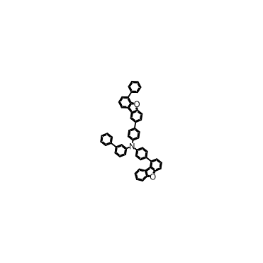 c1ccc(-c2cccc(N(c3ccc(-c4ccc5oc6c(-c7ccccc7)cccc6c5c4)cc3)c3ccc(-c4cccc5oc6ccccc6c45)cc3)c2)cc1